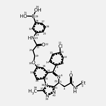 CCNC(=O)C[C@@H]1N=C(c2ccc(Cl)cc2)c2cc(OCCC(=O)Nc3cccc(B(O)O)c3)ccc2-n2c(C)nnc21